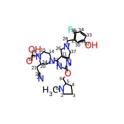 CN1CCCC1COc1nc2c(c(N3CCN(C(=O)O)C(CC#N)C3)n1)CN(Cc1cc(O)ccc1F)C2